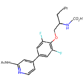 CC(=O)Nc1cc(-c2cc(F)c(OCC(CC(C)C)NC(=O)O)c(F)c2)ccn1